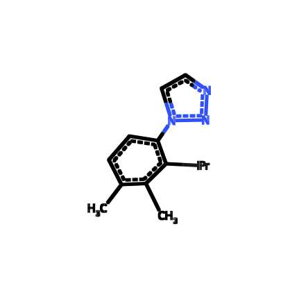 Cc1ccc(-n2ccnn2)c(C(C)C)c1C